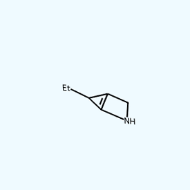 CCC1C2=C1NC2